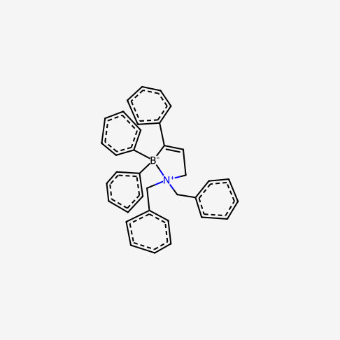 C1=C(c2ccccc2)[B-](c2ccccc2)(c2ccccc2)[N+](Cc2ccccc2)(Cc2ccccc2)C1